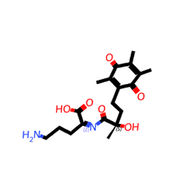 CC1=C(C)C(=O)C(CC[C@](C)(O)C(=O)/N=C(/CCCN)C(=O)O)=C(C)C1=O